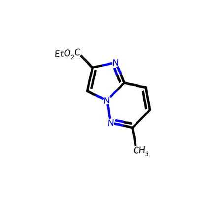 CCOC(=O)c1cn2nc(C)ccc2n1